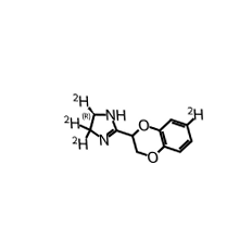 [2H]c1ccc2c(c1)OC(C1=NC([2H])([2H])[C@@H]([2H])N1)CO2